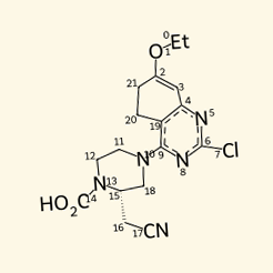 CCOC1=Cc2nc(Cl)nc(N3CCN(C(=O)O)[C@@H](CC#N)C3)c2CC1